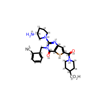 N#Cc1ccccc1Cn1c(N2CCC[C@@H](N)C2)nc2cc(C(=O)N3CCC(C(=O)O)CC3)sc2c1=O